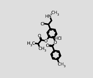 CNCC(Cl)c1ccc(OC(=O)c2ccc(C)cc2)c(OC(=O)C(C)C)c1.Cl